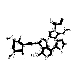 C=CC(=O)N1C[C@@H](n2nc(C#Cc3c(F)c(OC)cc(OC)c3F)c3c(N)ncc(-c4nccs4)c32)C[C@@H]1COC